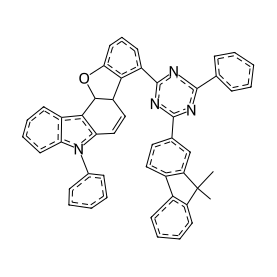 CC1(C)c2ccccc2-c2ccc(-c3nc(-c4ccccc4)nc(-c4cccc5c4C4C=Cc6c(c7ccccc7n6-c6ccccc6)C4O5)n3)cc21